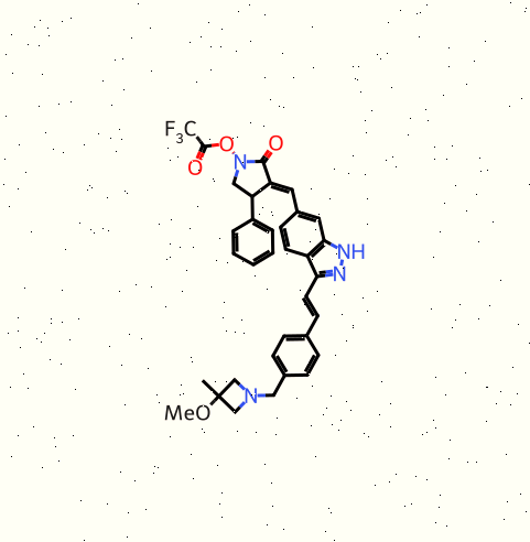 COC1(C)CN(Cc2ccc(/C=C/c3n[nH]c4cc(/C=C5/C(=O)N(OC(=O)C(F)(F)F)CC5c5ccccc5)ccc34)cc2)C1